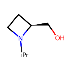 CC(C)N1CC[C@H]1CO